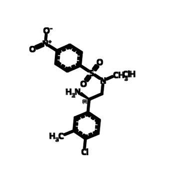 Cc1cc([C@@H](N)CN(C)S(=O)(=O)c2ccc([N+](=O)[O-])cc2)ccc1Cl.Cl